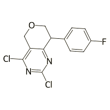 Fc1ccc(C2COCc3c(Cl)nc(Cl)nc32)cc1